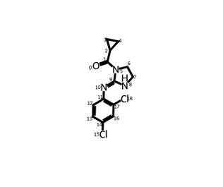 O=C(C1CC1)N1CCN/C1=N\c1ccc(Cl)cc1Cl